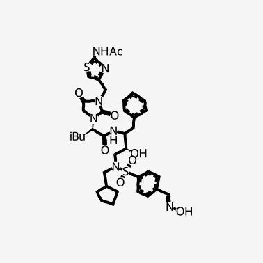 CC[C@H](C)[C@@H](C(=O)NC(Cc1ccccc1)[C@H](O)CN(CC1CCCC1)S(=O)(=O)c1ccc(/C=N/O)cc1)N1CC(=O)N(Cc2csc(NC(C)=O)n2)C1=O